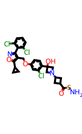 NSC(=O)C1CC(N2CC(O)(c3ccc(OCc4c(-c5c(Cl)cccc5Cl)noc4C4CC4)cc3Cl)C2)C1